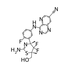 C[C@@]1(CO)SC(N)=N[C@](C)(c2cc(Nc3ncnc4cc(C#N)cnc34)ccc2F)C1(F)F